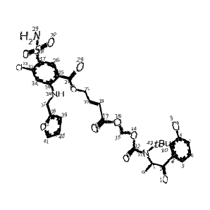 CC(C(=O)c1cccc(Cl)c1)N(C(=O)OCOC(=O)C=CCOC(=O)c1cc(S(N)(=O)=O)c(Cl)cc1NCc1ccco1)C(C)(C)C